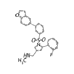 CNCc1cc(-c2ccccc2F)n(S(=O)(=O)c2cccc(-c3ccc4occc4c3)c2)c1